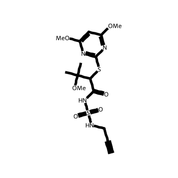 C#CCNS(=O)(=O)NC(=O)C(Sc1nc(OC)cc(OC)n1)C(C)(C)OC